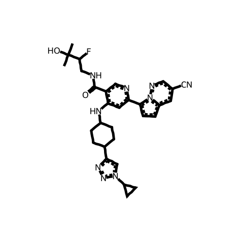 CC(C)(O)C(F)CNC(=O)c1cnc(-c2ccc3cc(C#N)cnn23)cc1NC1CCC(c2cn(C3CC3)nn2)CC1